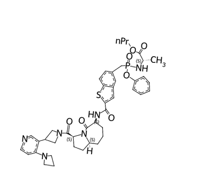 CCCOC(=O)[C@H](C)NP(=O)(Cc1ccc2sc(C(=O)N[C@H]3CCC[C@H]4CC[C@@H](C(=O)N5CC(c6cnccc6N6CCC6)C5)N4C3=O)cc2c1)Oc1ccccc1